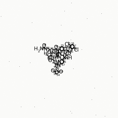 Cc1cccc(-c2nc(CN(Cc3cc(Cl)ccc3Cl)C(=O)OCc3ccc(NC(=O)C(CCCNC(N)=O)NC(=O)[C@@H](NC(=O)CCCCCN4C(=O)C=CC4=O)C(C)C)cc3)[nH]c2-c2ccc3ncnn3c2)n1